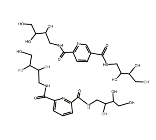 O=C(NCC(O)C(O)CO)c1ccc(C(=O)NCC(O)C(O)CO)nc1.O=C(NCC(O)C(O)CO)c1cccc(C(=O)NCC(O)C(O)CO)n1